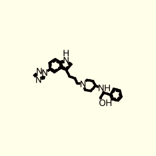 OCC(NC1CCN(CCCc2c[nH]c3ccc(-n4cncn4)cc23)CC1)c1ccccc1